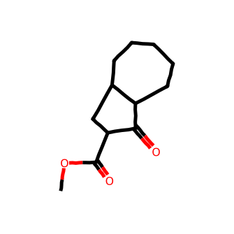 COC(=O)C1CC2CCCCCC2C1=O